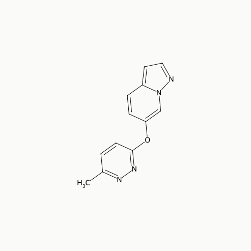 Cc1ccc(Oc2ccc3ccnn3c2)nn1